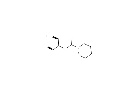 C=CC(C=C)[SiH2]C(C)[SiH]1CCCCO1